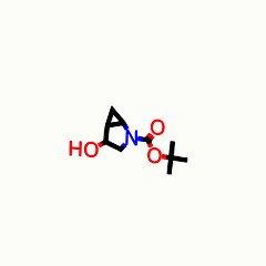 CC(C)(C)OC(=O)N1CC(O)C2CC21